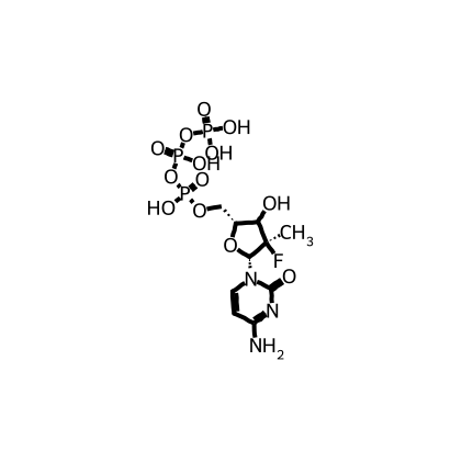 C[C@@]1(F)C(O)[C@@H](COP(=O)(O)OP(=O)(O)OP(=O)(O)O)O[C@H]1n1ccc(N)nc1=O